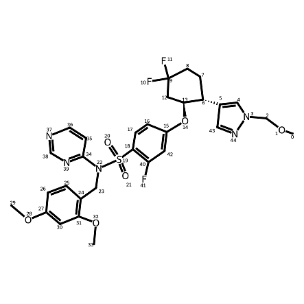 COCn1cc([C@H]2CCC(F)(F)C[C@@H]2Oc2ccc(S(=O)(=O)N(Cc3ccc(OC)cc3OC)c3ccncn3)c(F)c2)cn1